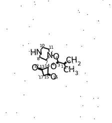 C=C(C)C(=O)ON1CCNCC1.O=C1CC(=O)C1